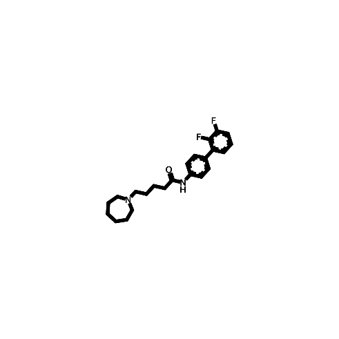 O=C(CCCCN1CCCCCC1)Nc1ccc(-c2cccc(F)c2F)cc1